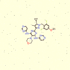 CCOc1cc(F)c(Cn2nc(-c3nc(Nc4ccncn4)c(N4CCOCC4)c(Nc4ccncn4)n3)c(C)c2C2CC2)c(F)c1